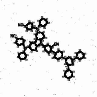 N#Cc1ccc(N(c2ccccc2)c2ccc3c(c2)c2cc(N(c4ccccc4)c4ccc(C#N)cc4)ccc2n3-c2ccc(-c3ccc(-c4cc(-c5ccccc5)nc(-c5ccccc5)n4)cc3)c(C#N)c2)cc1